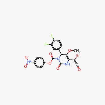 COC1=C(C(Br)=C=O)NC(=O)N(C(=O)Oc2ccc([N+](=O)[O-])cc2)C1c1ccc(F)c(F)c1